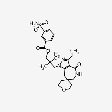 CCc1nn(CC(C)(C)COC(=O)c2cccc(S(N)(=O)=O)c2)c2c1C(=O)NCC1(CCOCC1)C2